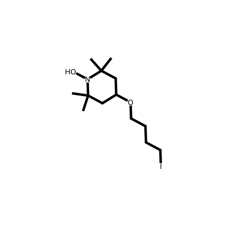 CC1(C)CC(OCCCCI)CC(C)(C)N1O